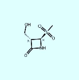 CS(=O)(=O)[C@H]1NC(=O)[C@@H]1CO